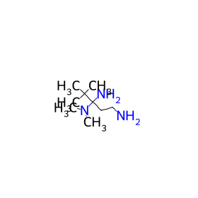 CN(C)C(N)(CCN)C(C)(C)C